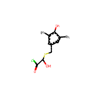 CC(C)c1cc(CSC(O)C(=O)Cl)cc(C(C)C)c1O